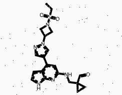 CCS(=O)(=O)N1CC(n2cc(-c3cc(NCC4(C=O)CC4)nc4[nH]ccc34)cn2)C1